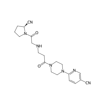 N#Cc1ccc(N2CCN(C(=O)CCNCC(=O)N3CCC[C@H]3C#N)CC2)nc1